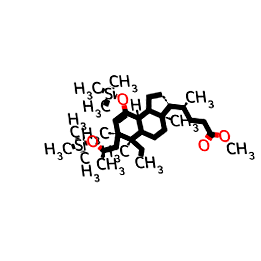 CC[C@]1(C)C2CC[C@@]3(C)C(CC[C@@H]3[C@H](C)CCC(=O)OC)[C@@H]2C(O[Si](C)(C)C)=C[C@]1(C)C[C@@H](C)O[Si](C)(C)C